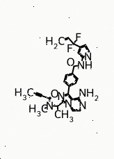 C=CC(F)(F)c1ccnc(NC(=O)c2ccc(-c3nc(C(C)N(C)C(=O)C#CC)n4ccnc(N)c34)cc2)c1